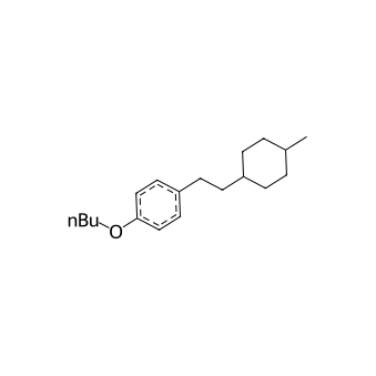 [CH2+][CH-]CCOc1ccc(CCC2CCC(C)CC2)cc1